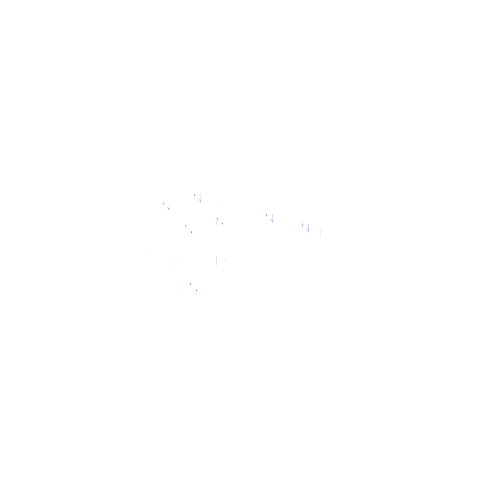 CCN1CCN(c2ccc(Nc3ncc4ccc5onc(C(C)C)c5c4n3)nc2)CC1